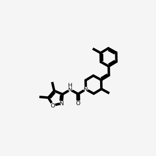 Cc1cccc(C=C2CCN(C(=O)Nc3noc(C)c3C)CC2C)c1